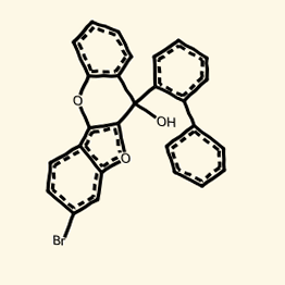 OC1(c2ccccc2-c2ccccc2)c2ccccc2Oc2c1oc1cc(Br)ccc21